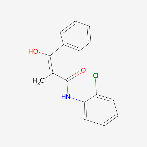 C/C(C(=O)Nc1ccccc1Cl)=C(\O)c1ccccc1